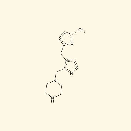 Cc1ccc(Cn2ccnc2CN2CCNCC2)o1